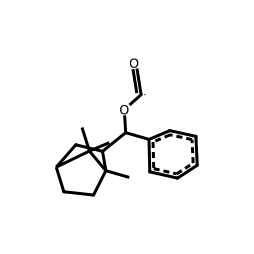 CC1(C)C2CCC1(C)C(C(O[C]=O)c1ccccc1)C2